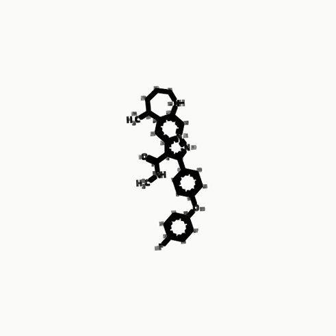 CNC(=O)c1c(-c2ccc(Oc3ccc(F)cc3)cc2)nn2cc3c(cc12)C(C)CCCN3